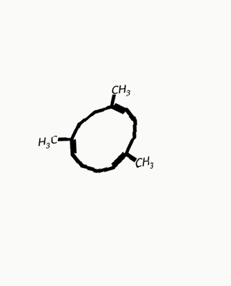 CC1=CCCC=C(C)CCC(C)=CCC1